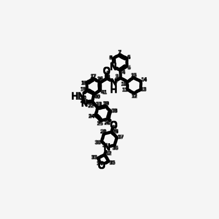 O=C(NC(c1ccccn1)C1CCCCC1)c1ccc2[nH]nc(-c3ccc(OC4CCN(C5COC5)CC4)cc3)c2c1